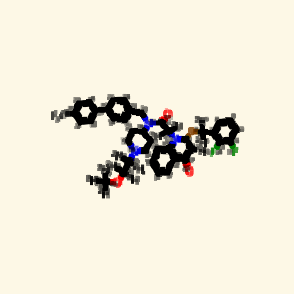 [2H]c1c(SC([2H])([2H])c2cccc(F)c2F)n(C([2H])([2H])C(=O)N(Cc2ccc(-c3ccc(C(F)(F)F)cc3)cc2)C2CCN(C([2H])([2H])C([2H])([2H])OC([2H])([2H])[2H])CC2)c2ccccc2c1=O